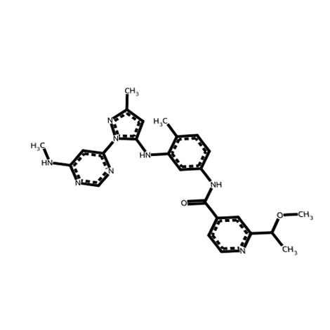 CNc1cc(-n2nc(C)cc2Nc2cc(NC(=O)c3ccnc(C(C)OC)c3)ccc2C)ncn1